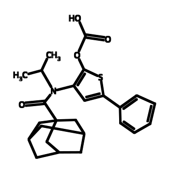 CC(C)N(C(=O)C12CC3CC(CC(C3)C1)C2)c1cc(-c2ccccc2)sc1OC(=O)O